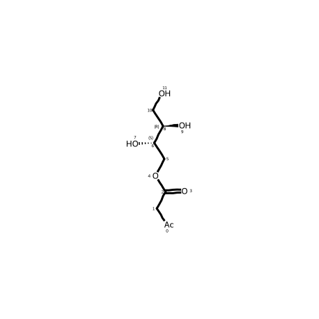 CC(=O)CC(=O)OC[C@H](O)[C@H](O)CO